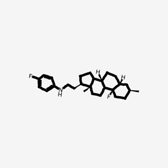 C[C@H]1CC[C@]2(F)C3CC[C@@]4(C)C(CC[C@@H]4CCNc4ccc(F)cc4)[C@@H]3CC[C@@H]2C1